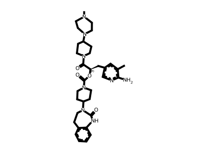 Cc1cc(C[C@@H](OC(=O)N2CCC(N3CCc4ccccc4NC3=O)CC2)C(=O)N2CCC(N3CCN(C)CC3)CC2)cnc1N